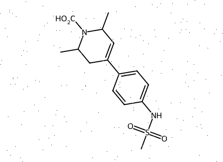 CC1C=C(c2ccc(NS(C)(=O)=O)cc2)CC(C)N1C(=O)O